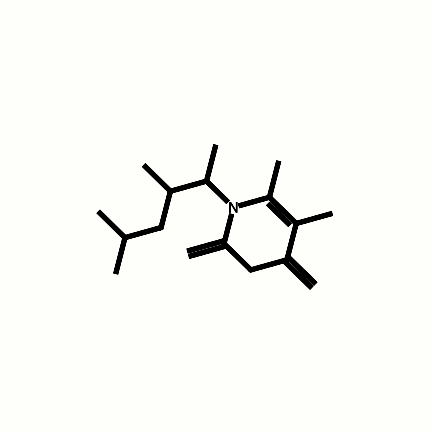 C=C1CC(=C)N(C(C)C(C)CC(C)C)C(C)=C1C